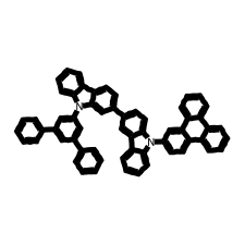 c1ccc(-c2cc(-c3ccccc3)cc(-n3c4ccccc4c4ccc(-c5ccc6c(c5)c5ccccc5n6-c5ccc6c7ccccc7c7ccccc7c6c5)cc43)c2)cc1